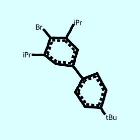 CC(C)c1cc(-c2ccc(C(C)(C)C)cc2)cc(C(C)C)c1Br